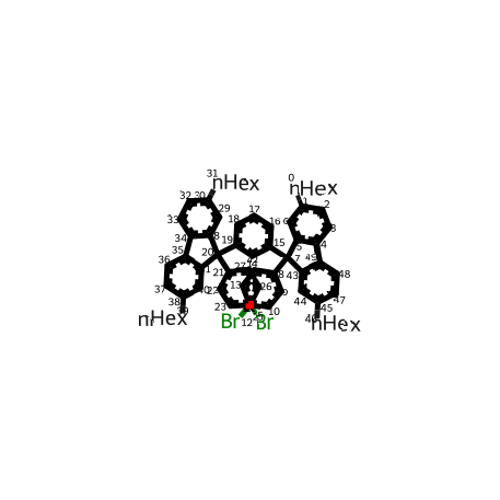 CCCCCCc1ccc2c(c1)C(c1ccc(Br)cc1)(c1cccc(C3(c4ccc(Br)cc4)c4cc(CCCCCC)ccc4-c4ccc(CCCCCC)cc43)c1)c1cc(CCCCCC)ccc1-2